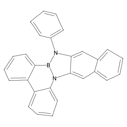 c1ccc(N2B3c4ccccc4-c4ccccc4N3c3cc4ccccc4cc32)cc1